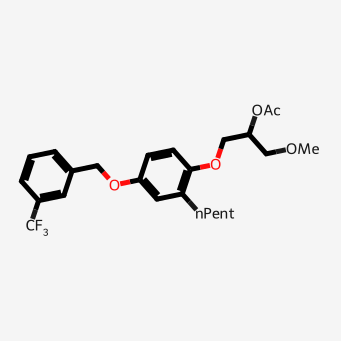 CCCCCc1cc(OCc2cccc(C(F)(F)F)c2)ccc1OCC(COC)OC(C)=O